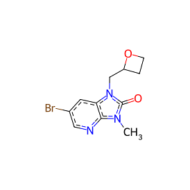 Cn1c(=O)n(CC2CCO2)c2cc(Br)cnc21